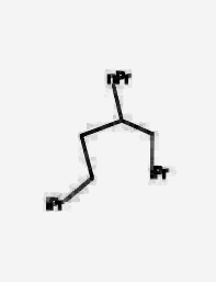 CCCC(CCC(C)C)CC(C)C